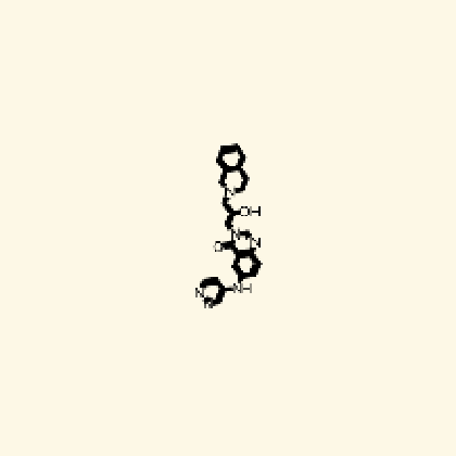 O=c1c2cc(Nc3ccnnc3)ccc2ncn1CC(O)CN1CCc2ccccc2C1